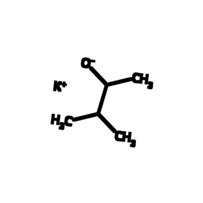 CC(C)C(C)[O-].[K+]